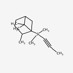 CC#C[Si](C)(C)C12CC(CCC1C)C2(C)C